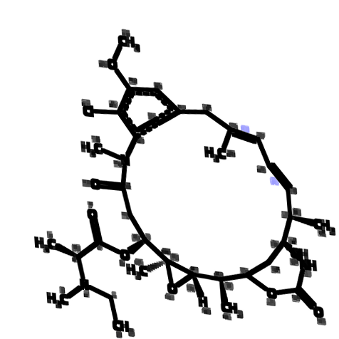 CCN(C)[C@@H](C)C(=O)O[C@H]1CC(=O)N(C)c2cc(cc(OC)c2Cl)C/C(C)=C/C=C/[C@@H](C)[C@@]2(O)CC(OC(=O)N2)[C@@H](C)[C@@H]2O[C@@]12C